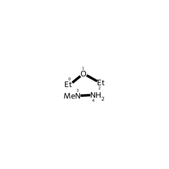 CCOCC.CNN